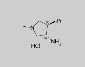 CC(C)[C@@H]1CN(C)C[C@H]1N.Cl